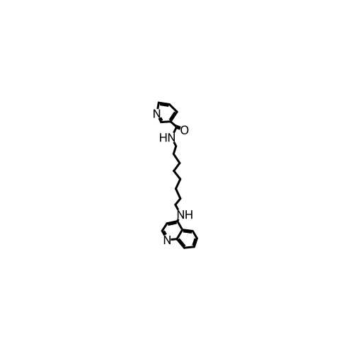 O=C(NCCCCCCCCNc1ccnc2ccccc12)c1cccnc1